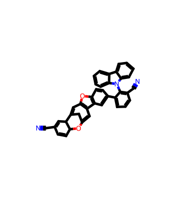 N#CC1=CC2C3=Cc4oc5ccc(-c6cccc(C#N)c6-n6c7ccccc7c7ccccc76)cc5c4C=C(C3)OC2C=C1